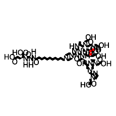 CC(Nc1nc(N[C@@H](CCCCN(Cc2nccn2CC(=O)O)Cc2nccn2CC(=O)O)C(=O)O)nc(N2CCN(CCCCCCCCCCC(=O)NNC(=O)N[C@@H](CCC(=O)O)C(=O)O)CC2)n1)[C@@H](C)N(CCN(CCN(CCN(C)CC(=O)O)CC(=O)O)CC(=O)O)CC(=O)O